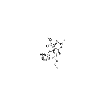 CCCCc1nc2cc(C)cc(C(=O)OC)c2n1Cc1nnn[nH]1